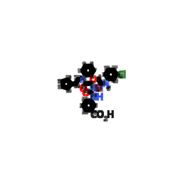 CN(C(=O)COc1ccccc1N(CCC1CCCC1)C(=O)CNC(=O)Nc1cccc(C(=O)O)c1)c1cccc(Cl)c1